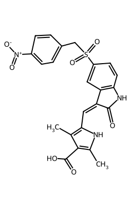 Cc1[nH]c(/C=C2\C(=O)Nc3ccc(S(=O)(=O)Cc4ccc([N+](=O)[O-])cc4)cc32)c(C)c1C(=O)O